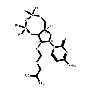 CC(=O)Nc1ccn([C@@H]2O[C@@H]3CO[Si](C(C)C)(C(C)C)O[Si](C(C)C)(C(C)C)OC3[C@@H]2OCOCC(C(F)(F)F)C(F)(F)F)c(=O)n1